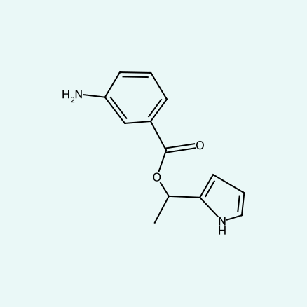 CC(OC(=O)c1cccc(N)c1)c1ccc[nH]1